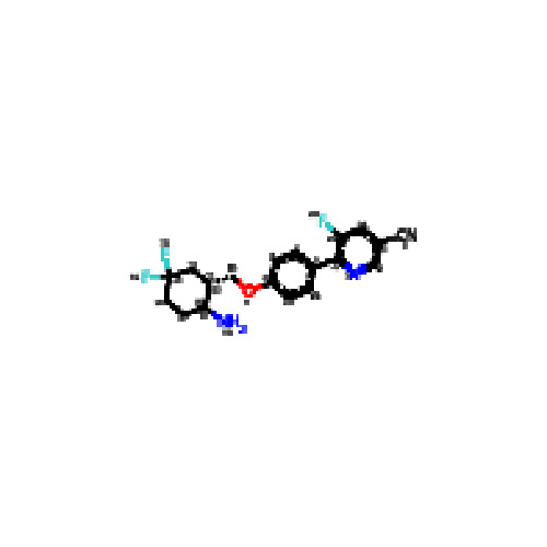 N#Cc1cnc(-c2ccc(OC[C@H]3CC(F)(F)CC[C@@H]3N)cc2)c(F)c1